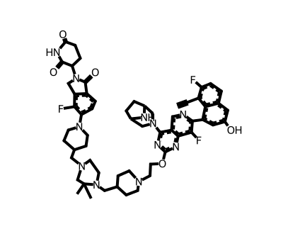 C#Cc1c(F)ccc2cc(O)cc(-c3ncc4c(N5CC6CCC(C5)N6)nc(OCCN5CCC(CN6CCN(CC7CCN(c8ccc9c(c8F)CN(C8CCC(=O)NC8=O)C9=O)CC7)CC6(C)C)CC5)nc4c3F)c12